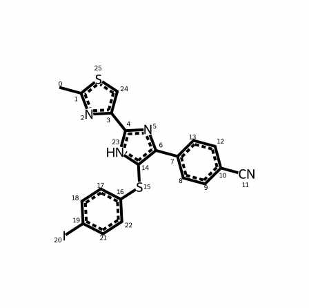 Cc1nc(-c2nc(-c3ccc(C#N)cc3)c(Sc3ccc(I)cc3)[nH]2)cs1